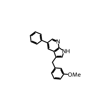 COc1cccc(Cc2c[nH]c3ncc(-c4ccccc4)cc23)c1